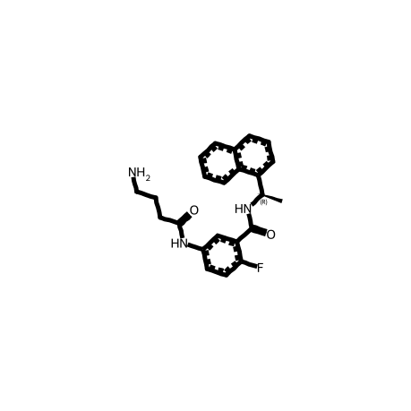 C[C@@H](NC(=O)c1cc(NC(=O)CCCN)ccc1F)c1cccc2ccccc12